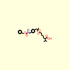 CC(C)C(CCCCC(=O)OC(C)(C)Cc1ccc(CNC(=O)OCc2ccccc2)cc1)C(=O)O